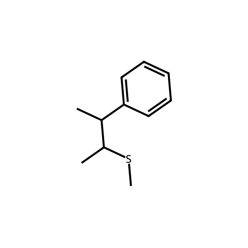 CSC(C)C(C)c1ccccc1